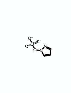 [O-][Cl+3]([O-])([O-])On1cccn1